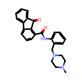 CN1CCN(Cc2ccccc2NC(=O)c2cccc3c2C(=O)c2ccccc2-3)CC1